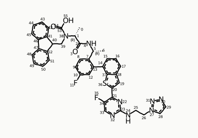 C[C@H](C(=O)N[C@H](C)c1ccc(F)cc1-c1cccc2cc(-c3nc(NCCn4ccnn4)ncc3F)sc12)N(CC1c2ccccc2-c2ccccc21)C(=O)O